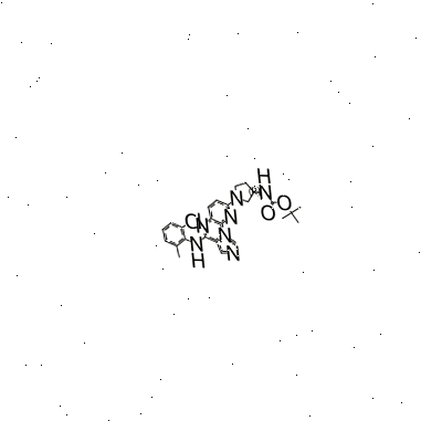 Cc1cccc(Cl)c1Nc1nc2ccc(N3CC[C@@H](NC(=O)OC(C)(C)C)C3)nc2n2cncc12